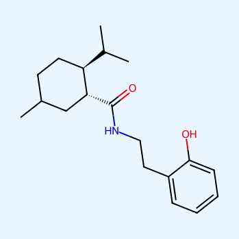 CC1CC[C@@H](C(C)C)[C@H](C(=O)NCCc2ccccc2O)C1